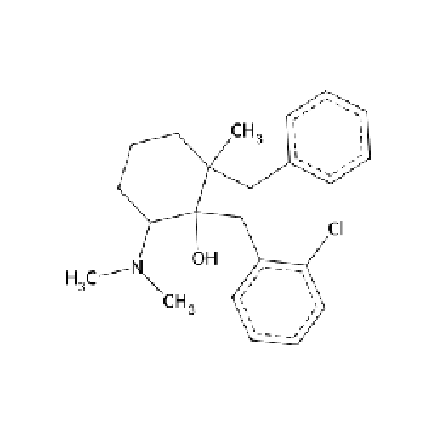 CN(C)C1CCCC(C)(Cc2ccccc2)C1(O)Cc1ccccc1Cl